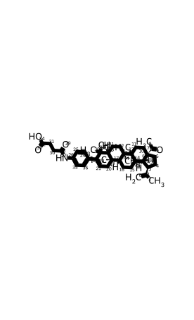 C=C(C)[C@@H]1CC[C@]2(C(C)=O)CC[C@]3(C)[C@H](CC[C@@H]4[C@@]5(C)CC=C(c6ccc(NC(=O)CCC(=O)O)cc6)C(C)(C)[C@@H]5CC[C@]43C)[C@@H]12